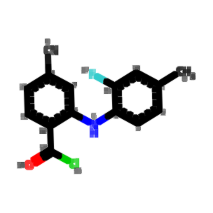 Cc1ccc(Nc2cc(C#N)ccc2C(=O)Cl)c(F)c1